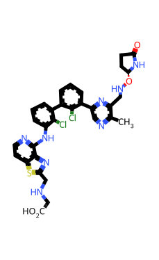 Cc1ncc(-c2cccc(-c3cccc(Nc4nccc5sc(CNCC(=O)O)nc45)c3Cl)c2Cl)nc1CNO[C@@H]1CCC(=O)N1